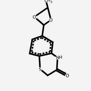 CC1OC(c2ccc3c(c2)NC(=O)CS3)O1